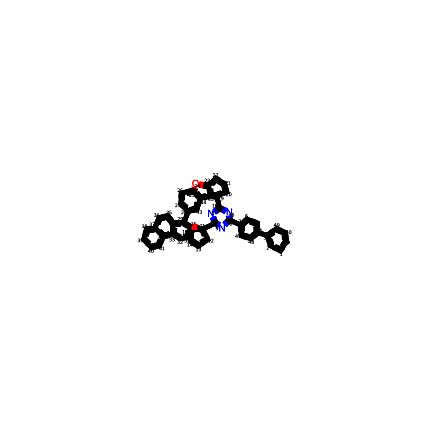 c1ccc(-c2ccc(-c3nc(-c4ccccc4)nc(-c4cccc5oc6ccc(-c7cccc8c7ccc7ccccc78)cc6c45)n3)cc2)cc1